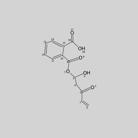 C=CC(=O)CC(O)OC(=O)c1ccccc1C(=O)O